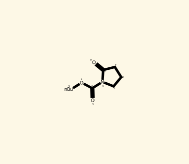 CCCCOC(=O)N1CCCC1=O